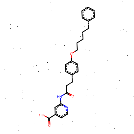 O=C(CCc1ccc(OCCCCCc2ccccc2)cc1)Nc1cc(C(=O)O)ccn1